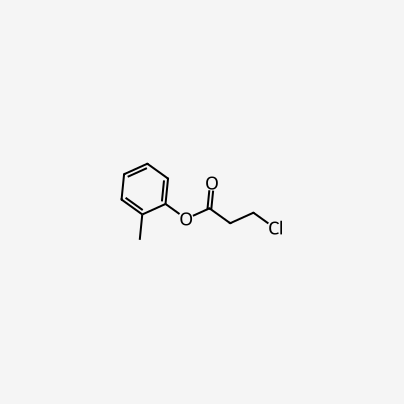 Cc1ccccc1OC(=O)CCCl